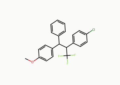 COc1ccc(C(c2ccccc2)C(c2ccc(Cl)cc2)C(F)(F)F)cc1